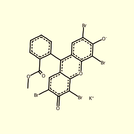 COC(=O)c1ccccc1-c1c2cc(Br)c(=O)c(Br)c-2oc2c(Br)c([O-])c(Br)cc12.[K+]